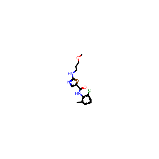 COCCCNc1ncc(C(=O)Nc2c(C)cccc2Cl)s1